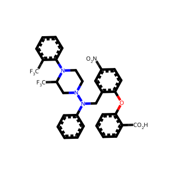 O=C(O)c1ccccc1Oc1ccc([N+](=O)[O-])cc1CN(c1ccccc1)N1CCN(c2ccccc2C(F)(F)F)C(C(F)(F)F)C1